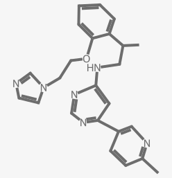 Cc1ccc(-c2cc(NCC(C)c3ccccc3OCCn3ccnc3)ncn2)cn1